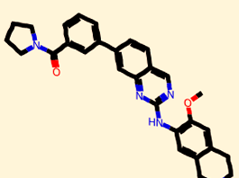 COc1cc2c(cc1Nc1ncc3ccc(-c4cccc(C(=O)N5CCCC5)c4)cc3n1)CNCC2